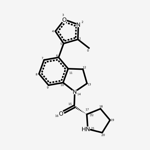 Cc1nocc1-c1cccc2c1CCN2C(=O)[C@@H]1CCCN1